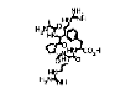 C[C@H](N)C(=O)N[C@@H](CCCNC(=N)N)C(=O)N1CCC[C@H]1C(=O)N[C@@H](CCCNC(=N)N)C(=O)N[C@@H](Cc1ccccc1)C(=O)O